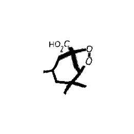 CC1CC(C)(C)C2OOC2(C(=O)O)C1